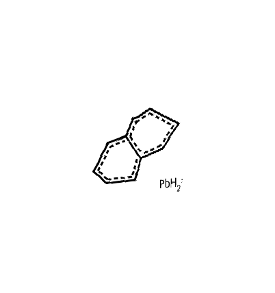 [PbH2].c1ccc2ccccc2c1